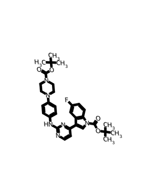 CC(C)(C)OC(=O)N1CCN(c2ccc(Nc3nccc(-c4cn(C(=O)OC(C)(C)C)c5ccc(F)cc45)n3)cc2)CC1